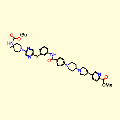 COC(=O)c1ccc(C2=CCN(C3CCN(c4ccc(C(=O)Nc5cccc(Sc6cnc(N7CCC(C)(NC(=O)OC(C)(C)C)CC7)cn6)c5)cc4)CC3)CC2)cn1